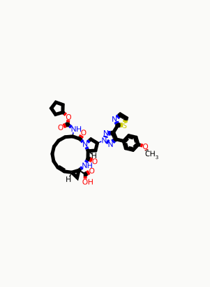 COc1ccc(-c2nn([C@@H]3C[C@H]4C(=O)N[C@]5(C(=O)O)C[C@H]5/C=C\CCCCC[C@H](NC(=O)OC5CCCC5)C(=O)N4C3)nc2-c2nccs2)cc1